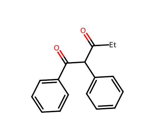 CCC(=O)C(C(=O)c1ccccc1)c1ccccc1